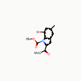 COC(=O)c1cc2cc(C)cc(Br)c2n1C(=O)OC(C)(C)C